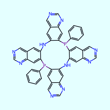 c1ccc(P2c3cc4cncnc4cc3Nc3cc4ncncc4cc3P(c3ccccc3)c3cc4ncncc4cc3Nc3cc4cncnc4cc32)cc1